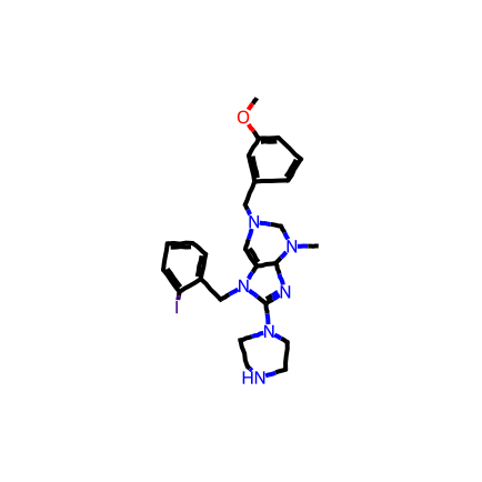 COc1cccc(CN2C=C3C(N=C(N4CCNCC4)N3Cc3ccccc3I)N(C)C2)c1